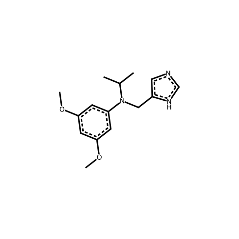 COc1cc(OC)cc(N(Cc2cnc[nH]2)C(C)C)c1